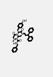 CN1CC(=O)N2C(CN(CCC(c3ccccc3)c3ccccc3)C(=O)[C@@H]2Cc2ccc(O)cc2)N1C(=O)NCc1ccccc1